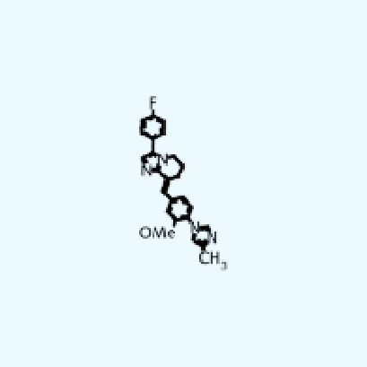 COc1cc(C=C2CCCn3c(-c4ccc(F)cc4)cnc32)ccc1-n1cnc(C)c1